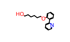 OCCCCCCOc1ccccc1-c1ccccn1